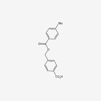 CC(C)(C)c1ccc(C(=O)OCc2ccc(C(=O)O)cc2)cc1